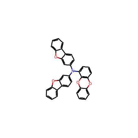 c1ccc2c(c1)Oc1cccc(N(c3ccc4c(c3)oc3ccccc34)c3ccc4c(c3)oc3ccccc34)c1O2